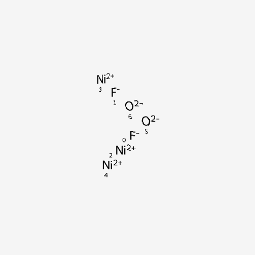 [F-].[F-].[Ni+2].[Ni+2].[Ni+2].[O-2].[O-2]